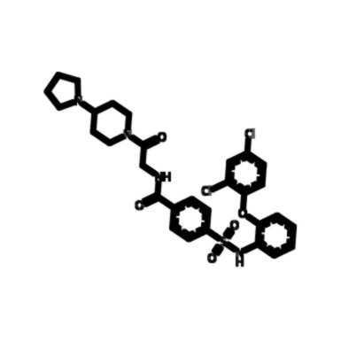 O=C(NCC(=O)N1CCC(N2CCCC2)CC1)c1ccc(S(=O)(=O)Nc2ccccc2Oc2ccc(Cl)cc2Cl)cc1